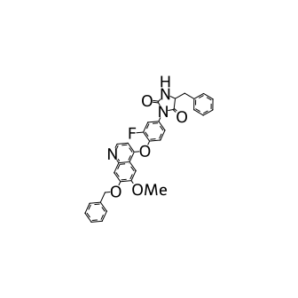 COc1cc2c(Oc3ccc(N4C(=O)NC(Cc5ccccc5)C4=O)cc3F)ccnc2cc1OCc1ccccc1